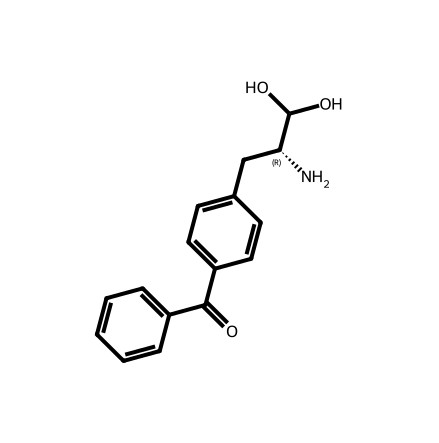 N[C@H](Cc1ccc(C(=O)c2ccccc2)cc1)C(O)O